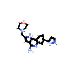 Nc1nc2cc(-c3ccn[nH]3)ccc2c2[nH]c(CN3CCOCC3)cc12